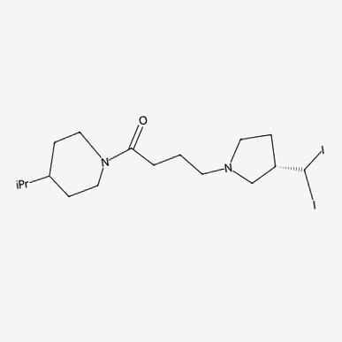 CC(C)C1CCN(C(=O)CCCN2CC[C@H](C(I)I)C2)CC1